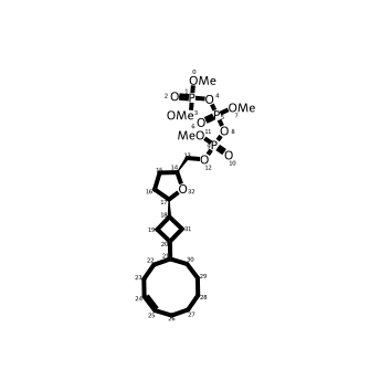 COP(=O)(OC)OP(=O)(OC)OP(=O)(OC)OC[C@@H]1CC[C@H](C2CC(C3CC/C=C\CCCCC3)C2)O1